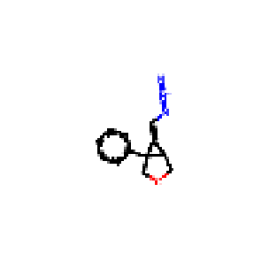 [N-]=[N+]=NC=C1C2COCC12c1ccccc1